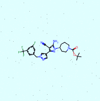 CC(C)(C)OC(=O)N1CCC[C@H](n2nc(-c3cnn(Cc4cc(F)cc(C(F)(F)F)c4)c3)c(C#N)c2N)CC1